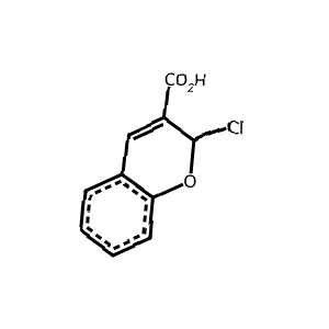 O=C(O)C1=Cc2ccccc2OC1Cl